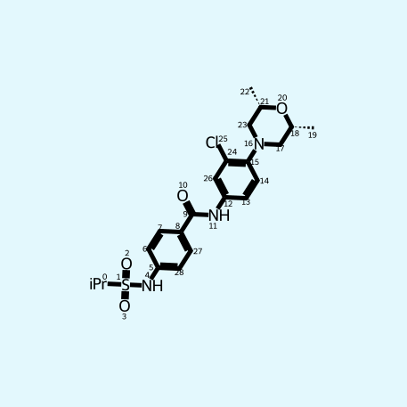 CC(C)S(=O)(=O)Nc1ccc(C(=O)Nc2ccc(N3C[C@@H](C)O[C@@H](C)C3)c(Cl)c2)cc1